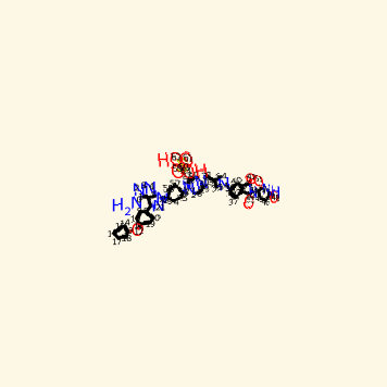 Nc1ncnc2c1c(-c1ccc(Oc3ccccc3)cc1)nn2C1CCC(N2CCN(CC3CN(c4ccc5c(c4)C(=O)N(C4CCC(=O)NC4=O)C5=O)C3)CC2)CC1.O=S(=O)(O)O